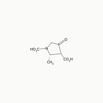 C[C@H]1C(C(=O)O)C(=O)CN1C(=O)O